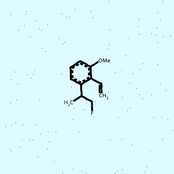 [CH2]C(CF)c1cccc(OC)c1C=C